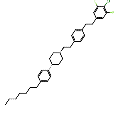 CCCCCCCc1ccc([C@H]2CC[C@H](CCc3ccc(CCc4cc(F)c(Cl)c(F)c4)cc3)CC2)cc1